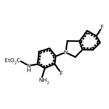 CCOC(=O)Nc1ccc(N2Cc3ccc(F)cc3C2)c(F)c1N